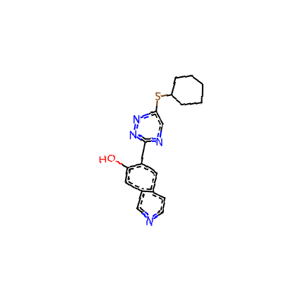 Oc1cc2cnccc2cc1-c1ncc(SC2CCCCC2)nn1